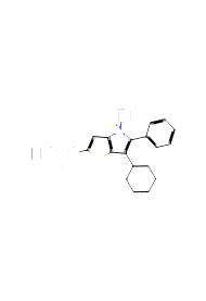 [CH2]Cn1c(-c2ccccc2)c(C2CCCCC2)c2sc(C(=O)O)cc21